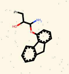 CC(C)CC(O)C(N)Oc1cccc2c1-c1ccccc1C2